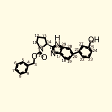 O=C(OCc1ccccc1)N1CCC[C@H]1c1nc2ccc(-c3cccc(O)c3)cc2[nH]1